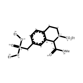 CCOC(=O)N1CCc2ccc(CP(=O)(OCC)OCC)cc2C1C(=O)OC